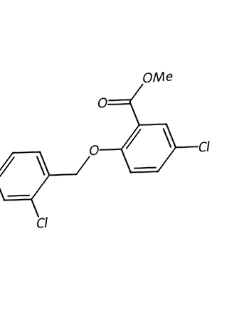 COC(=O)c1cc(Cl)ccc1OCc1ccccc1Cl